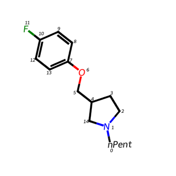 CCCCCN1CCC(COc2ccc(F)cc2)C1